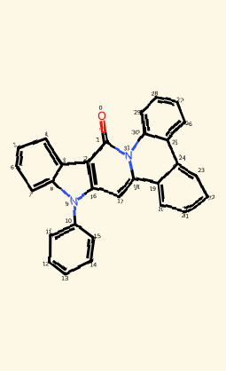 O=c1c2c3ccccc3n(-c3ccccc3)c2cc2c3ccccc3c3ccccc3n12